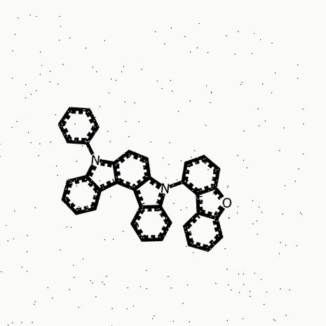 c1ccc(-n2c3ccccc3c3c4c5ccccc5n(-c5cccc6oc7ccccc7c56)c4ccc32)cc1